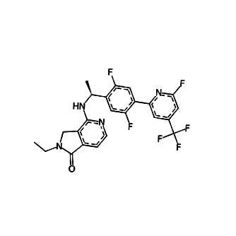 CCN1Cc2c(ccnc2N[C@@H](C)c2cc(F)c(-c3cc(C(F)(F)F)cc(F)n3)cc2F)C1=O